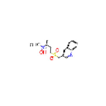 C[C@@H](CCS(=O)(=O)Cc1cnc2ccccc2c1)N(O)C=O